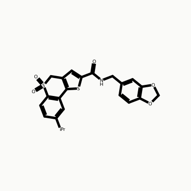 CC(C)c1ccc2c(c1)-c1sc(C(=O)NCc3ccc4c(c3)OCO4)cc1CS2(=O)=O